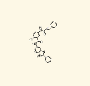 O=C(/C=C/c1ccccc1)Nc1ccc(Cl)c(C(=O)Nc2cnc3[nH]c(-c4ccccc4)nc3c2)c1